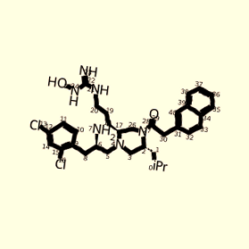 CC(C)C[C@@H]1CN(C[C@H](N)Cc2ccc(Cl)cc2Cl)[C@@H](CCCNC(=N)NO)CN1C(=O)Cc1ccc2ccccc2c1